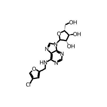 OC[C@H]1OC(n2cnc3c(NCc4cc(Cl)co4)ncnc32)[C@@H](O)[C@@H]1O